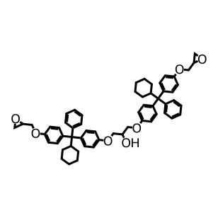 OC(COc1ccc(C(c2ccccc2)(c2ccc(OCC3CO3)cc2)C2CCCCC2)cc1)COc1ccc(C(c2ccccc2)(c2ccc(OCC3CO3)cc2)C2CCCCC2)cc1